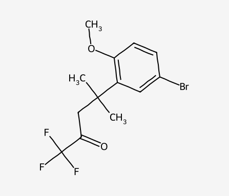 COc1ccc(Br)cc1C(C)(C)CC(=O)C(F)(F)F